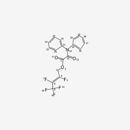 O=C(OC/C(F)=C(\F)C(F)(F)F)C(=O)N(c1ccccc1)c1ccccc1